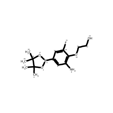 CC1(C)OB(c2cc(N)c(OCCO)c(F)c2)OC1(C)C